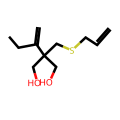 C=CCSCC(CO)(CO)C(=C)CC